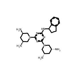 N[C@@H]1C[C@H](N)CN(c2nc(NC3CCc4ccccc43)nc(N3C[C@H](N)C[C@H](N)C3)n2)C1